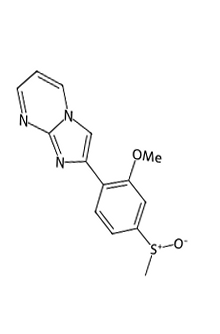 COc1cc([S+](C)[O-])ccc1-c1cn2cccnc2n1